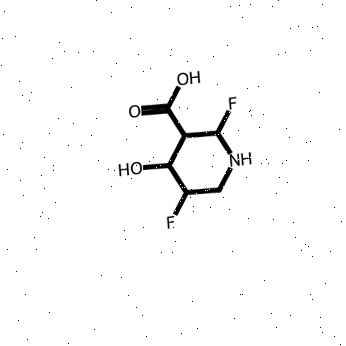 O=C(O)C1C(F)NCC(F)C1O